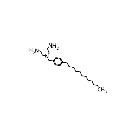 CCCCCCCCCCCCc1ccc(CN(CCN)CCN)cc1